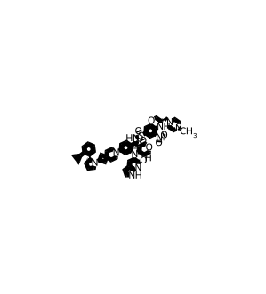 CN1CCN(C[C@@H]2COc3cc(S(=O)(=O)NC(=O)c4ccc(N5CCC6(CC5)CC(N5CCC[C@H]5c5ccccc5C5CC5)C6)cc4N4c5cc6cc[nH]c6nc5O[C@H]5COCC[C@@H]54)cc([N+](=O)[O-])c3N2)CC1